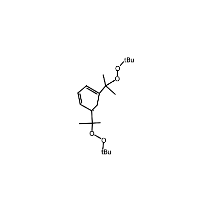 CC(C)(C)OOC(C)(C)[C]1C=CC=C(C(C)(C)OOC(C)(C)C)C1